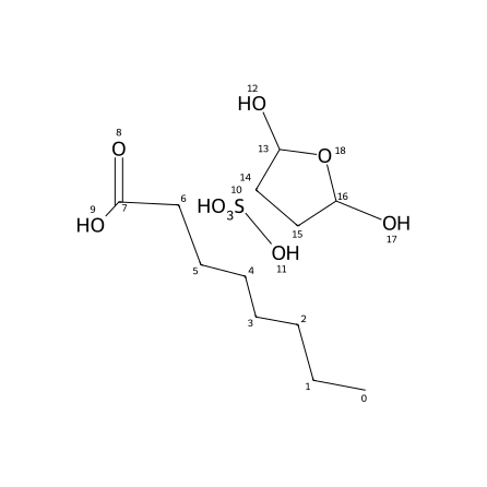 CCCCCCCC(=O)O.O=S(=O)(O)O.OC1CCC(O)O1